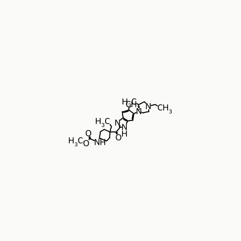 CCN1CCN(c2cc3[nH]c(C(=O)C4(CC)CCC(NC(=O)OC)CC4)nc3cc2C)C(C)C1